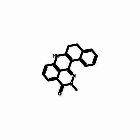 Cn1nc2c3c(cccc3c1=O)NC1=C2c2ccccc2CC1